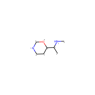 CNC(C)C1CC[N]CO1